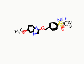 COc1ccc2nc(OCc3ccc(S(C)(=N)=O)cc3)cnc2c1